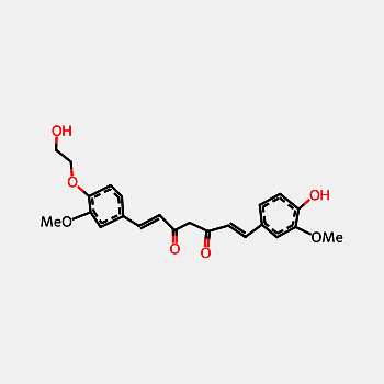 COc1cc(/C=C/C(=O)CC(=O)/C=C/c2ccc(OCCO)c(OC)c2)ccc1O